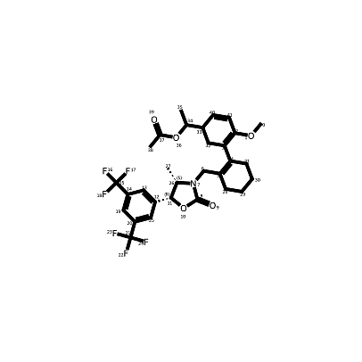 COC1=C(C2=C(CN3C(=O)O[C@H](c4cc(C(F)(F)F)cc(C(F)(F)F)c4)[C@@H]3C)CCCC2)CC(C(C)OC(C)=O)C=C1